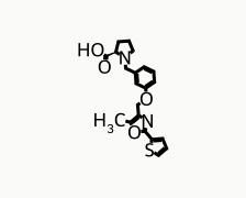 Cc1oc(-c2cccs2)nc1COc1cccc(CN2CCC[C@@H]2C(=O)O)c1